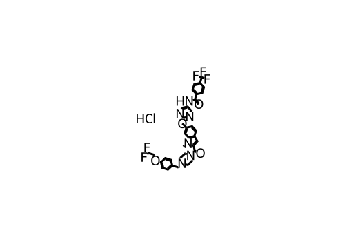 Cl.Cn1c(C(=O)N2CCN(Cc3ccc(OCC(F)F)cc3)CC2)cc2ccc(Oc3ncc(NC(=O)c4ccc(C(F)(F)F)cc4)cn3)cc21